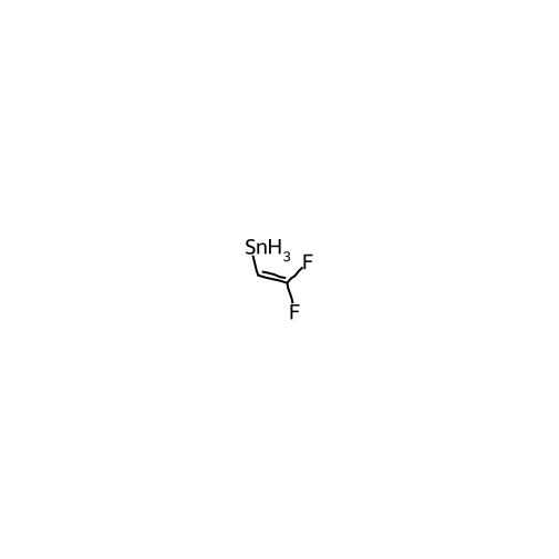 FC(F)=[CH][SnH3]